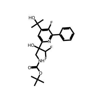 CC(C)(C)OC(=O)NCC(O)(c1cc(C(C)(C)O)c(F)c(-c2ccccc2)n1)C(F)F